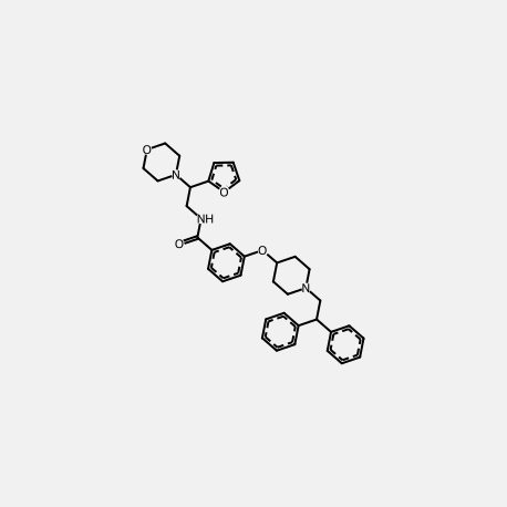 O=C(NCC(c1ccco1)N1CCOCC1)c1cccc(OC2CCN(CC(c3ccccc3)c3ccccc3)CC2)c1